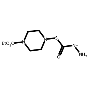 CCOC(=O)N1CCN(SC(=O)NN)CC1